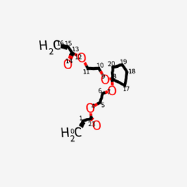 C=CC(=O)OCCOC1(OCCOC(=O)C=C)CCCC1